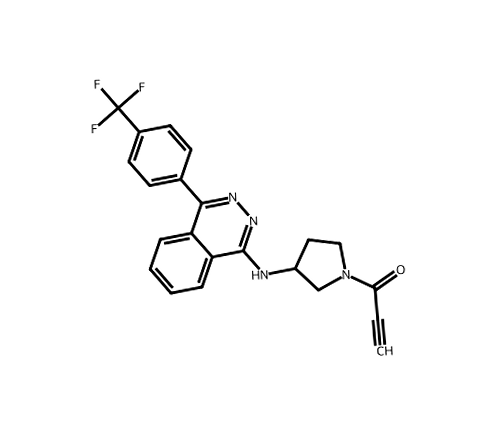 C#CC(=O)N1CCC(Nc2nnc(-c3ccc(C(F)(F)F)cc3)c3ccccc23)C1